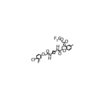 Cc1ccc2c(c1)N(C(=O)COC(F)(F)F)CC(C(=O)NC13CC(NC(=O)COc4ccc(Cl)c(F)c4)(C1)C3)O2